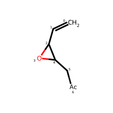 C=CC1OC1CC(C)=O